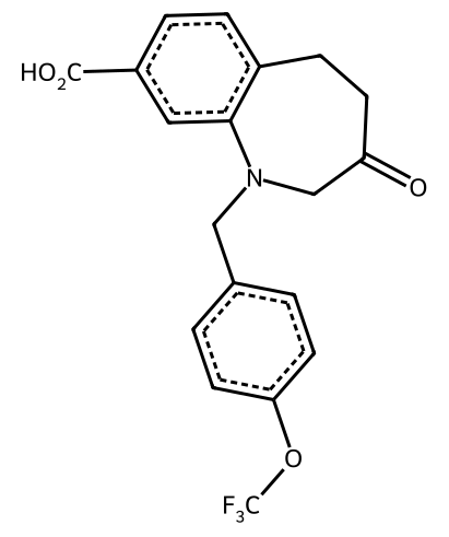 O=C1CCc2ccc(C(=O)O)cc2N(Cc2ccc(OC(F)(F)F)cc2)C1